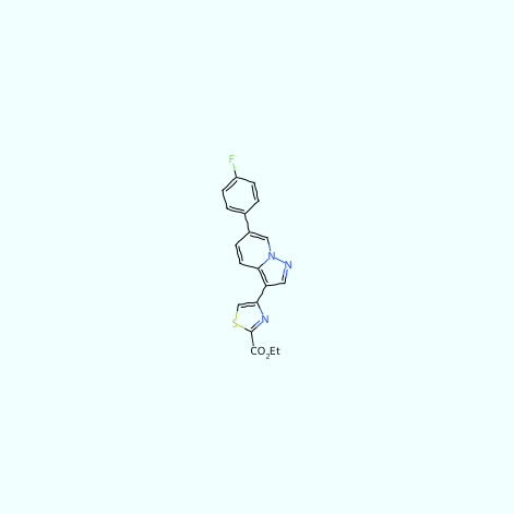 CCOC(=O)c1nc(-c2cnn3cc(-c4ccc(F)cc4)ccc23)cs1